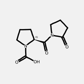 O=C1CCCN1C(=O)[C@@H]1CCCN1C(=O)O